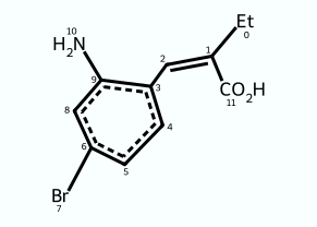 CCC(=Cc1ccc(Br)cc1N)C(=O)O